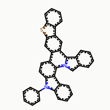 c1ccc(-n2c3ccccc3c3c2ccc2c4cc5sc6ccccc6c5cc4c4c5ccccc5cn4c23)cc1